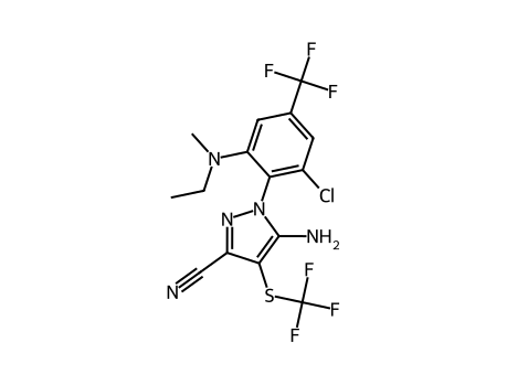 CCN(C)c1cc(C(F)(F)F)cc(Cl)c1-n1nc(C#N)c(SC(F)(F)F)c1N